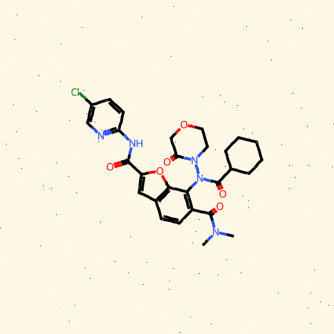 CN(C)C(=O)c1ccc2cc(C(=O)Nc3ccc(Cl)cn3)oc2c1N(C(=O)C1CCCCC1)N1CCOCC1=O